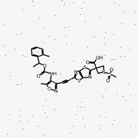 Cc1ccccc1C(C)OC(=O)Nc1c(C#Cc2nc3sc(C4(C(=O)O)CN(S(C)(=O)=O)C4)nc3s2)noc1C